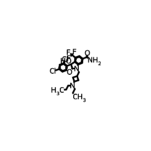 CCCN(CCC)C1CC(CN2C(=O)C(O)(c3ccc(Cl)cc3Cl)c3c2cc(C(N)=O)cc3C(F)(F)F)C1